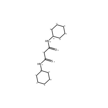 O=C(CC(=S)NC1CCCCC1)NC1CCCCC1